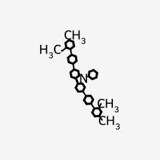 CCc1cc(C)ccc1-c1ccc(-c2ccc3c4ccc(-c5ccc(-c6ccc(C)cc6C)cc5)cc4n(-c4ccccc4)c3c2)cc1